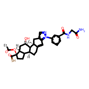 CCC(=O)O[C@]1(C(=O)S)CCC2[C@@H]3CCC4=Cc5c(cnn5-c5cccc(C(=O)NCC(N)=O)c5)C[C@]4(C)C3[C@@H](O)C[C@@]21C